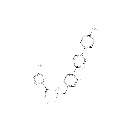 CC(C)(C)c1ccc(-c2cnc(-c3ccc(C[C@H](NC(=O)c4ncc(C(C)(C)C)s4)C(=O)O)cc3)nc2)cc1